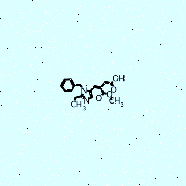 CCc1ncc(C=C(CC(=O)O)C(=O)OC)n1Cc1ccccc1